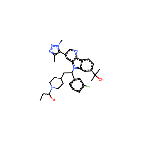 CCC(O)N1CCC(CC(c2cccc(F)c2)n2c3cc(C(C)(C)O)ccc3c3ncc(-c4c(C)nnn4C)cc32)CC1